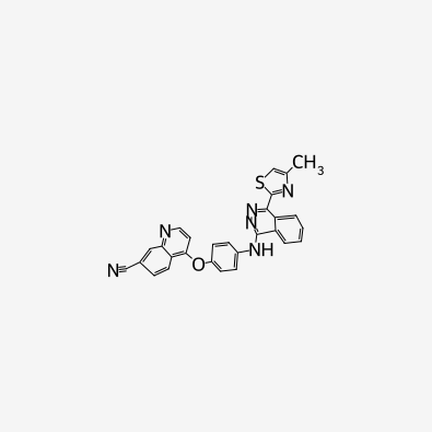 Cc1csc(-c2nnc(Nc3ccc(Oc4ccnc5cc(C#N)ccc45)cc3)c3ccccc23)n1